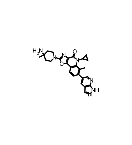 Cc1c(-c2cnc3[nH]ncc3c2)ccc2c3oc(N4CCC(C)(N)CC4)nc3c(=O)n(C3CC3)c12